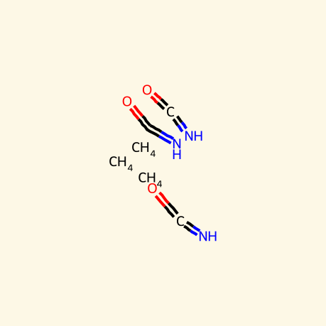 C.C.C.N=C=O.N=C=O.N=C=O